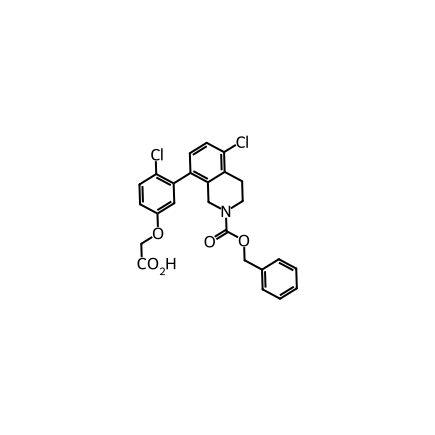 O=C(O)COc1ccc(Cl)c(-c2ccc(Cl)c3c2CN(C(=O)OCc2ccccc2)CC3)c1